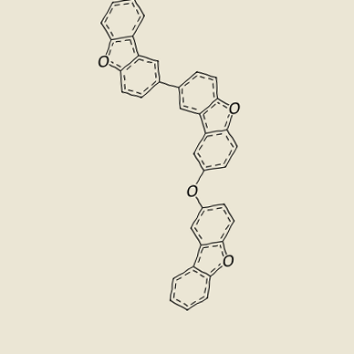 c1ccc2c(c1)oc1ccc(Oc3ccc4oc5ccc(-c6ccc7oc8ccccc8c7c6)cc5c4c3)cc12